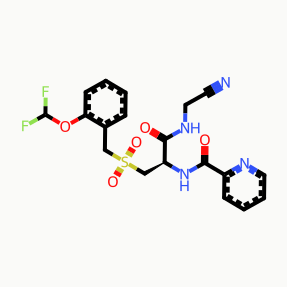 N#CCNC(=O)[C@H](CS(=O)(=O)Cc1ccccc1OC(F)F)NC(=O)c1ccccn1